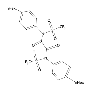 CCCCCCc1ccc(N(C(=O)C(=O)N(c2ccc(CCCCCC)cc2)S(=O)(=O)C(F)(F)F)S(=O)(=O)C(F)(F)F)cc1